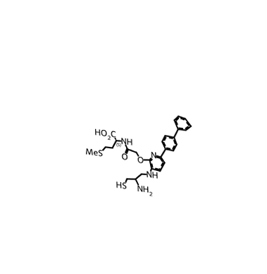 CSCC[C@H](NC(=O)COc1nc(-c2ccc(-c3ccccc3)cc2)ccc1NCC(N)CS)C(=O)O